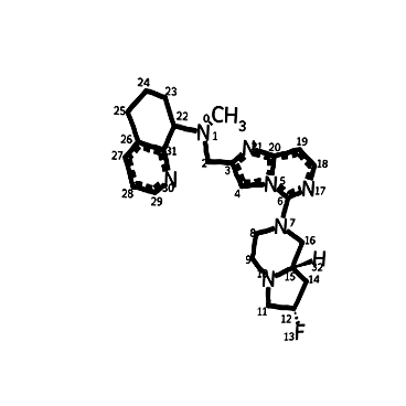 CN(Cc1cn2c(N3CCN4C[C@@H](F)C[C@H]4C3)nccc2n1)C1CCCc2cccnc21